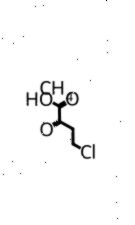 C.O=C(O)C(=O)CCCl